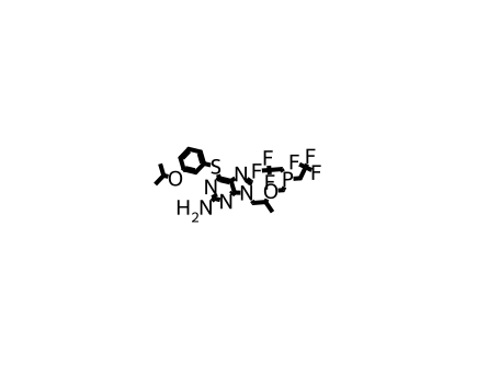 CC(C)Oc1cccc(Sc2nc(N)nc3c2ncn3CC(C)OCP(CC(F)(F)F)CC(F)(F)F)c1